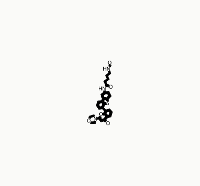 O=CNCCCCC(=O)Nc1ccc2sc3c(-c4cccc5c(=O)cc(N6CCOCC6)oc45)cccc3c2c1